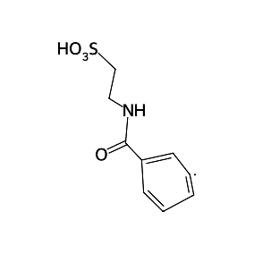 O=C(NCCS(=O)(=O)O)c1c[c]ccc1